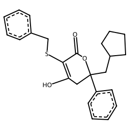 O=C1OC(CC2CCCC2)(c2ccccc2)CC(O)=C1SCc1ccccc1